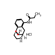 CCC(=O)Nc1cccc2c1C[C@H]1NCC[C@@]23CCCC[C@@H]13.Cl